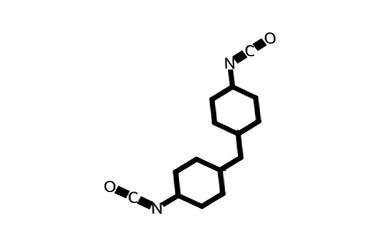 O=C=NC1CC[C](C[C]2CCC(N=C=O)CC2)CC1